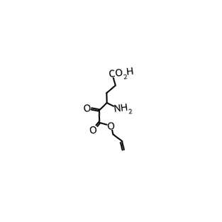 C=CCOC(=O)C(=O)C(N)CCC(=O)O